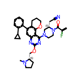 C=C(F)C(=O)N1CCN(c2nc(OC[C@@H]3CCCN3C)nc3cc(-c4ccccc4C4CC4)c4c(c23)OCCC4)C[C@@H]1CC#N